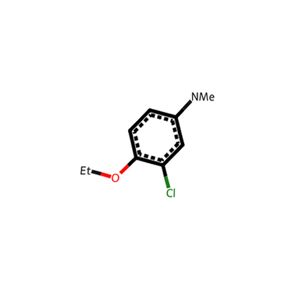 CCOc1ccc(NC)cc1Cl